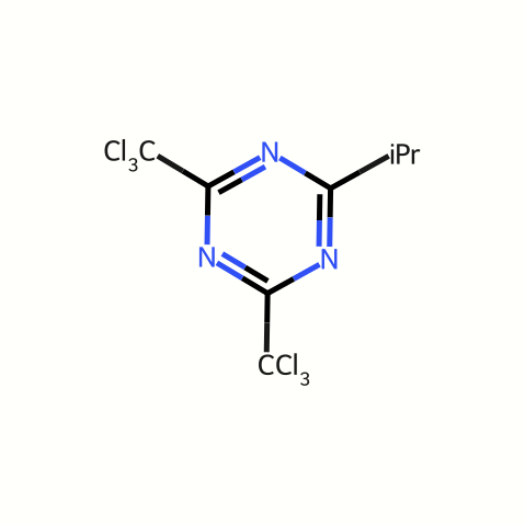 CC(C)c1nc(C(Cl)(Cl)Cl)nc(C(Cl)(Cl)Cl)n1